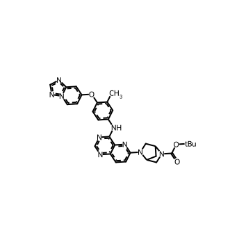 Cc1cc(Nc2ncnc3ccc(N4CC5CC4CN5C(=O)OC(C)(C)C)nc23)ccc1Oc1ccn2ncnc2c1